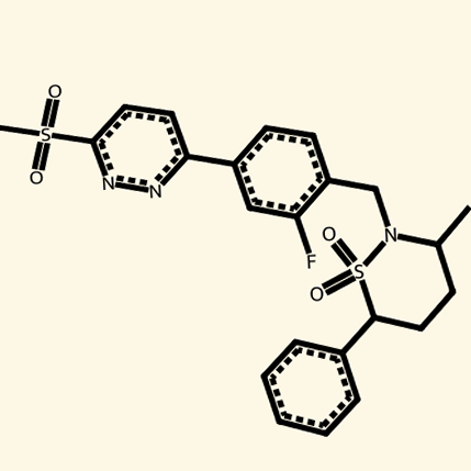 CC1CCC(c2ccccc2)S(=O)(=O)N1Cc1ccc(-c2ccc(S(C)(=O)=O)nn2)cc1F